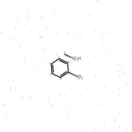 CS(=O)(=O)O.O=[N+]([O-])c1ccccc1